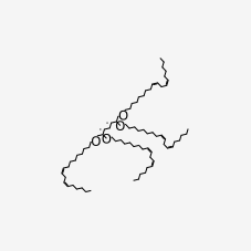 CCCCC/C=C\C/C=C\CCCCCCCCOCC([CH]C[CH]C(COCCCCCCCC/C=C\C/C=C\CCCCC)OCCCCCCCC/C=C\C/C=C\CCCCC)OCCCCCCCC/C=C\C/C=C\CCCCC